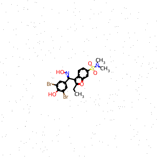 CCc1oc2cc(S(=O)(=O)N(C)C)ccc2c1C(=NO)c1cc(Br)c(O)c(Br)c1